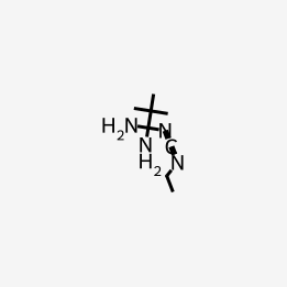 CCN=C=NC(N)(N)C(C)(C)C